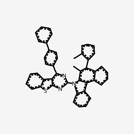 Cc1ccccc1-c1c(C)c2c(c3ccccc13)c1ccccc1n2-c1nc(-c2ccc(-c3ccccc3)cc2)c2c(n1)sc1ccccc12